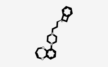 C1=COc2cccc(N3CCN(CCC[C@@H]4Cc5ccccc54)CC3)c2OC1